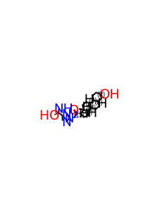 CC12CC[C@H]3[C@@H](CC[C@@H]4C[C@](C)(O)CC[C@@H]43)[C@@H]1CC[C@@H]2C(=O)Cn1ncc(C(N)O)n1